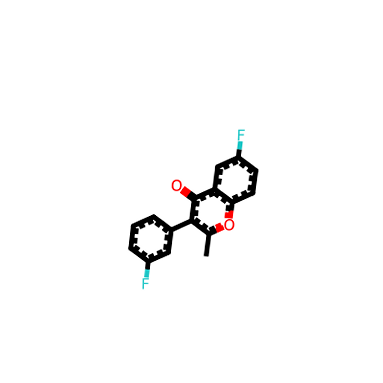 Cc1oc2ccc(F)cc2c(=O)c1-c1cccc(F)c1